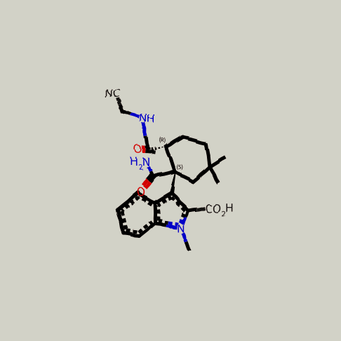 Cn1c(C(=O)O)c([C@]2(C(N)=O)CC(C)(C)CC[C@H]2C(=O)NCC#N)c2ccccc21